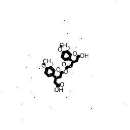 COc1ccc(C(CC(=O)O)CC(=O)OC(=O)CC(CC(=O)O)c2ccc(OC)cc2)cc1